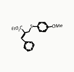 CCOC(=O)C(=Cc1ccccc1)CSc1ccc(OC)cc1